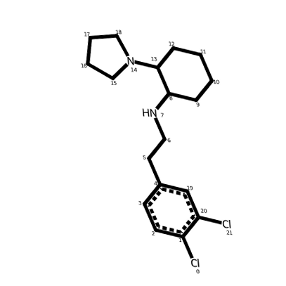 Clc1ccc(CCNC2CCCCC2N2CCCC2)cc1Cl